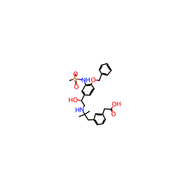 CC(C)(Cc1cccc(CC(=O)O)c1)NC[C@@H](O)c1ccc(OCc2ccccc2)c(NS(C)(=O)=O)c1